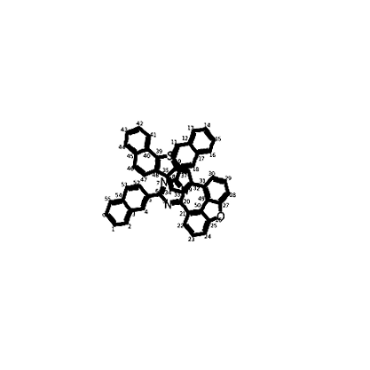 c1ccc2cc(-c3nc(-c4ccc5ccccc5c4)nc(-c4cccc5oc6cccc(-c7ccc8c(c7)sc7c9ccccc9ccc87)c6c45)n3)ccc2c1